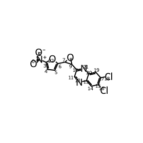 O=[N+]([O-])c1ccc(C2OC2c2cnc3cc(Cl)c(Cl)cc3n2)o1